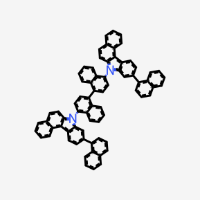 c1ccc2c(-c3ccc4c5c6ccccc6ccc5n(-c5ccc(-c6ccc(-n7c8cc(-c9cccc%10ccccc9%10)ccc8c8c9ccccc9ccc87)c7ccccc67)c6ccccc56)c4c3)cccc2c1